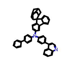 c1ccc(-c2ccc(N(c3ccc(-c4ccnc5ccccc45)cc3)c3ccc4c(c3)-c3ccccc3C43C4CC5CC(C4)CC3C5)cc2)cc1